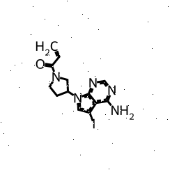 C=CC(=O)N1CCC(n2cc(I)c3c(N)ncnc32)C1